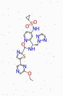 CCOc1cncc(-c2cnc(C(=O)N[C@H](Cn3nccn3)c3cc(NS(=O)(=O)C4CC4)ccn3)s2)n1